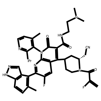 C=C(F)C(=O)N1CCC(c2c(C(=O)NCCN(C)C)c(=O)n(-c3c(C)ccnc3C(C)C)c3nc(-c4c(C)ccc5[nH]ncc45)c(F)cc23)C[C@@H]1CC#N